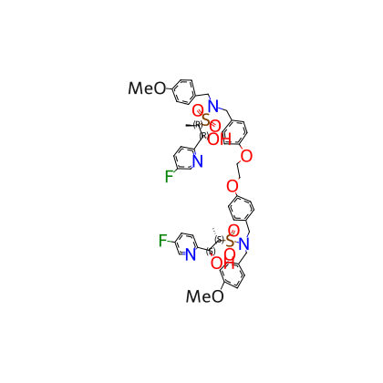 COc1ccc(CN(Cc2ccc(OCCOc3ccc(CN(Cc4ccc(OC)cc4)S(=O)(=O)[C@@H](C)[C@@H](O)c4ccc(F)cn4)cc3)cc2)S(=O)(=O)[C@H](C)[C@H](O)c2ccc(F)cn2)cc1